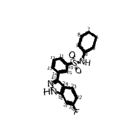 O=S(=O)(NC1CCCCC1)c1cccc(-c2n[nH]c3cc(F)ccc23)c1